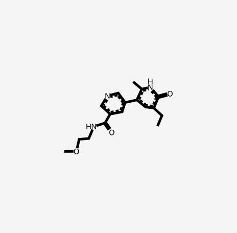 CCc1cc(-c2cncc(C(=O)NCCOC)c2)c(C)[nH]c1=O